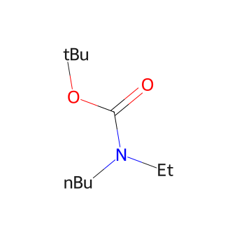 CCCCN(CC)C(=O)OC(C)(C)C